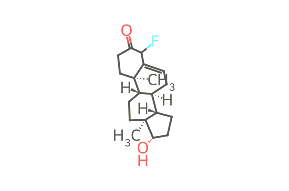 C[C@]12CC[C@H]3[C@@H](CC=C4C(F)C(=O)CC[C@@]43C)[C@@H]1CC[C@@H]2O